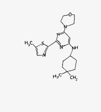 Cc1cnc(-c2nc(NC3CCC(C)(C)CC3)cc(N3CCOCC3)n2)s1